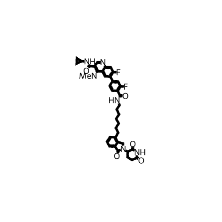 CNc1c(C(=O)NC2CC2)cnc2cc(F)c(-c3ccc(C(=O)NCCCCCCCc4cccc5c4CN(C4CCC(=O)NC4=O)C5=O)c(F)c3)cc12